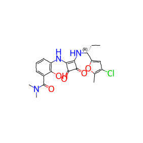 CC[C@@H](Nc1c(Nc2cccc(C(=O)N(C)C)c2O)c(=O)c1=O)c1cc(Cl)c(C)o1